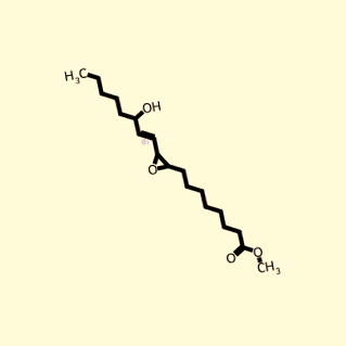 CCCCCC(O)/C=C/C1OC1CCCCCCCC(=O)OC